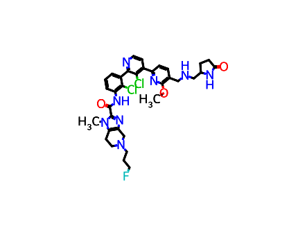 COc1nc(-c2ccnc(-c3cccc(NC(=O)c4nc5c(n4C)CCN(CCCF)C5)c3Cl)c2Cl)ccc1CNCC1CCC(=O)N1